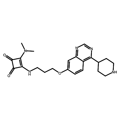 CN(C)c1c(NCCCOc2ccc3c(C4CCNCC4)ncnc3c2)c(=O)c1=O